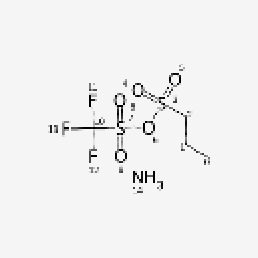 CCCS(=O)(=O)OS(=O)(=O)C(F)(F)F.N